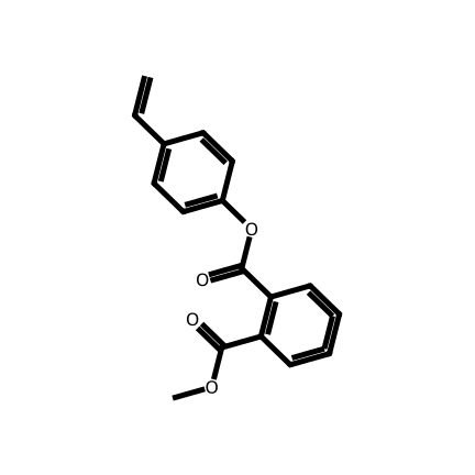 C=Cc1ccc(OC(=O)C2=C(C(=O)OC)C=C=C=C2)cc1